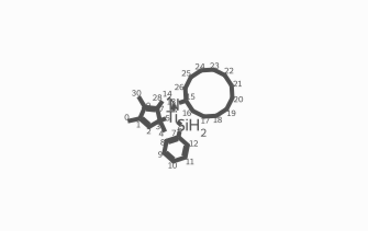 CC1=C[C](C)([Ti]([SiH2]c2ccccc2)[N](C)C2CCCCCCCCCCC2)C(C)=C1C